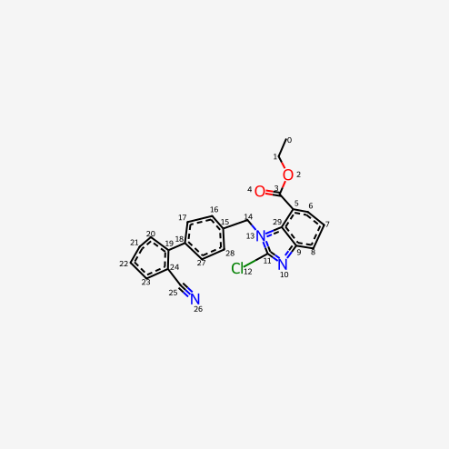 CCOC(=O)c1cccc2nc(Cl)n(Cc3ccc(-c4ccccc4C#N)cc3)c12